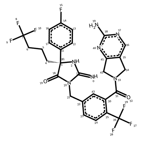 N=C1N[C@](CCCC(F)(F)F)(c2ccc(F)cc2)C(=O)N1Cc1ccc(C(F)(F)F)c(C(=O)N2Cc3cnc(N)nc3C2)c1